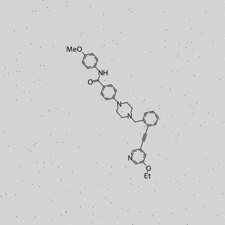 CCOc1cncc(C#Cc2ccccc2CN2CCN(c3ccc(C(=O)Nc4ccc(OC)cc4)cc3)CC2)c1